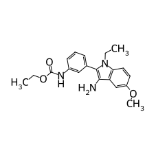 CCOC(=O)Nc1cccc(-c2c(N)c3cc(OC)ccc3n2CC)c1